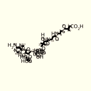 C/C(=C\C(=O)O)C(=O)SCCNC(=O)CCNC(=O)[C@H](O)C(C)(C)COP(=O)(O)OP(=O)(O)OC[C@H]1O[C@@H](n2cnc3c(N)ncnc32)[C@H](O)[C@@H]1OP(=O)(O)O